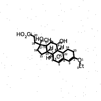 CCOC1=CC2=CC[C@@H]3[C@H]([C@H](O)C[C@@]4(C)[C@H]3CC[C@]4(O)CCC(=O)O)[C@@]2(C)CC1